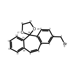 BrCc1ccc2c(c1)C=Cc1ccccc1C21OCCO1